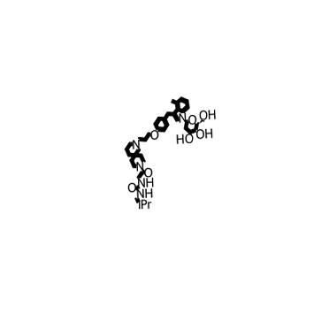 Cc1cccc2c1c(Cc1ccc(OCCCN3CCCC4(CCN(C(=O)CNC(=O)NCC(C)C)CC4)C3)cc1)cn2[C@H]1C[C@@H](O)C(O)[C@@H](CO)O1